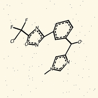 Cn1cnc(C([O])c2cccc(-c3noc(C(F)(F)Cl)n3)c2)c1